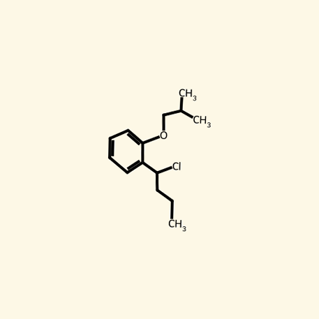 CCCC(Cl)c1ccccc1OCC(C)C